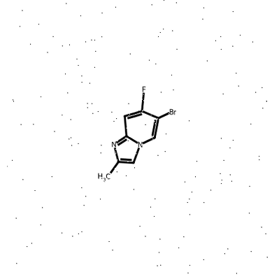 Cc1cn2cc(Br)c(F)cc2n1